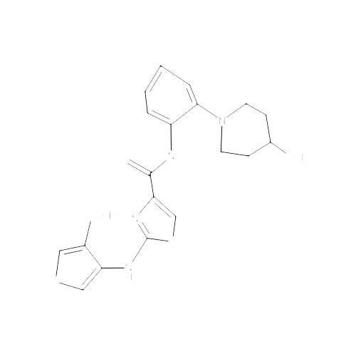 O=C(Nc1ccccc1N1CCC(O)CC1)c1csc(Nc2cscc2C(=O)O)n1